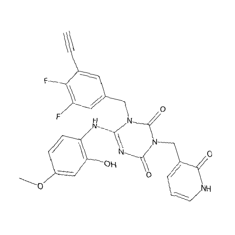 C#Cc1cc(Cn2c(Nc3ccc(OC)cc3O)nc(=O)n(Cc3ccc[nH]c3=O)c2=O)cc(F)c1F